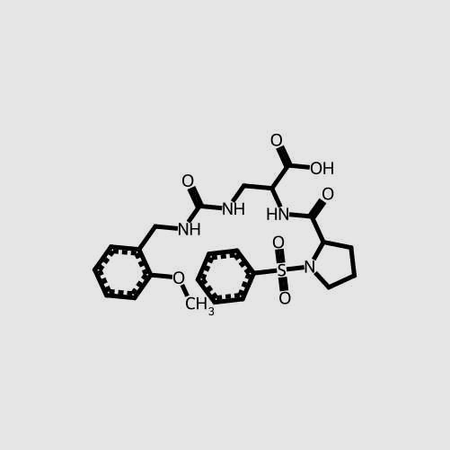 COc1ccccc1CNC(=O)NCC(NC(=O)C1CCCN1S(=O)(=O)c1ccccc1)C(=O)O